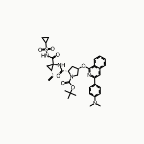 C=C[C@@H]1C[C@]1(NC(=O)[C@@H]1C[C@@H](Oc2nc(-c3ccc(N(C)C)cc3)cc3ccccc23)CN1C(=O)OC(C)(C)C)C(=O)NS(=O)(=O)C1CC1